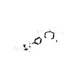 CC(=O)OC[C@H]1O[C@H](c2ccc(B3OC(C)(C)C(C)(C)O3)cc2)[C@@H](O)[C@@H](O)[C@@H]1O